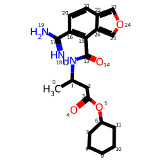 CC(CC(=O)OC1CCCCC1)NC(=O)c1c(C(=N)N)ccc2cocc12